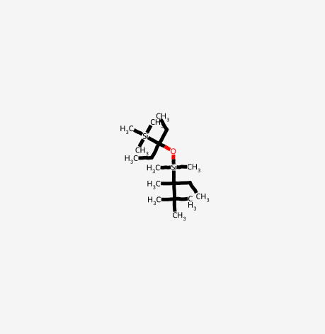 CCC(CC)(O[Si](C)(C)C(C)(CC)C(C)(C)C)[Si](C)(C)C